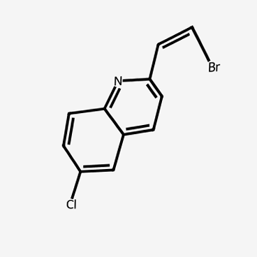 Clc1ccc2nc(/C=C\Br)ccc2c1